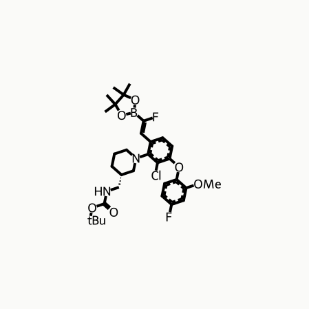 COc1cc(F)ccc1Oc1ccc(/C=C(\F)B2OC(C)(C)C(C)(C)O2)c(N2CCC[C@@H](CNC(=O)OC(C)(C)C)C2)c1Cl